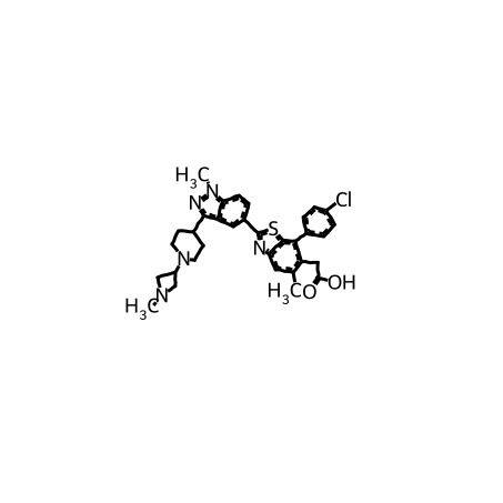 Cc1cc2nc(-c3ccc4c(c3)c(C3CCN(C5CN(C)C5)CC3)nn4C)sc2c(-c2ccc(Cl)cc2)c1CC(=O)O